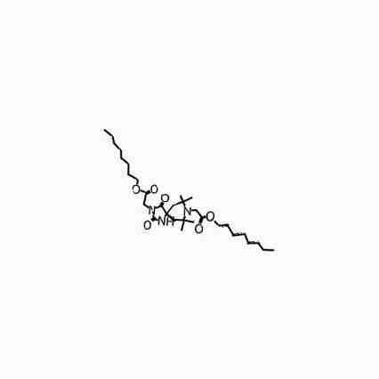 CCCCCCCCOC(=O)CN1C(=O)NC2(CC(C)(C)N(CC(=O)OCCCCCCCC)C(C)(C)C2)C1=O